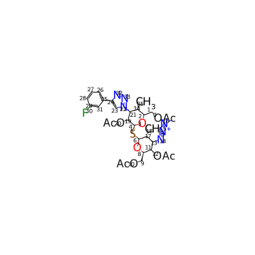 CC(=O)OCC1O[C@@H](SC2O[C@H](COC(C)=O)C(OC(C)=O)C(N=[N+]=[N-])[C@H]2C)C(OC(C)=O)[C@@H](n2cc(-c3cccc(F)c3)nn2)[C@H]1C